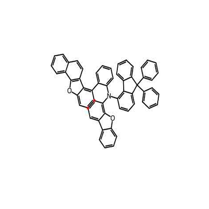 c1ccc(C2(c3ccccc3)c3ccccc3-c3c(N(c4ccccc4-c4cccc5oc6c7ccccc7ccc6c45)c4cccc5c4oc4ccccc45)cccc32)cc1